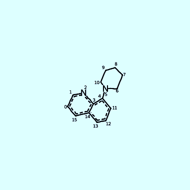 c1cnc2c(N3CCCCC3)cccc2c1